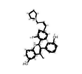 CC1=C(c2cccc(O)c2)C(c2ccc(/C=C\CN3CCCC3)cc2F)Oc2ccc(O)cc21